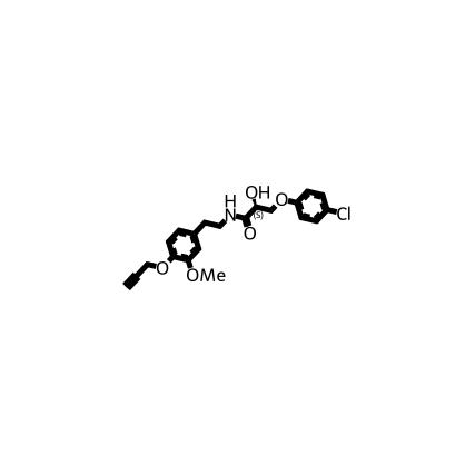 C#CCOc1ccc(CCNC(=O)[C@@H](O)COc2ccc(Cl)cc2)cc1OC